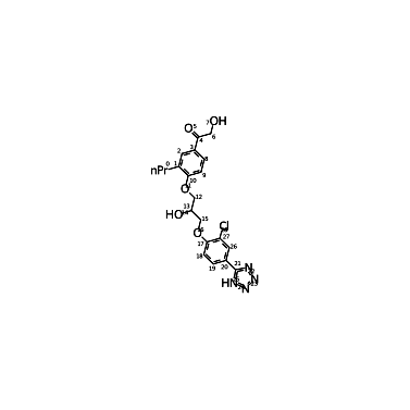 CCCc1cc(C(=O)CO)ccc1OCC(O)COc1ccc(-c2nnn[nH]2)cc1Cl